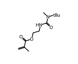 C=C(C)C(=O)OCCNC(=O)N(C)C(C)(C)C